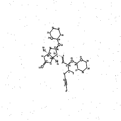 CC#CCC(C)[C@@H](C=C[C@@H]1[C@H]2CC(=O)C[C@H]2C[C@H]1OC1CCCCO1)OC1CCCCO1